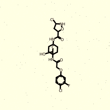 O=C(COc1ccc(Cl)c(F)c1)NC12CCC(NC(=O)C3CC(Cl)NO3)(CC1)CC2O